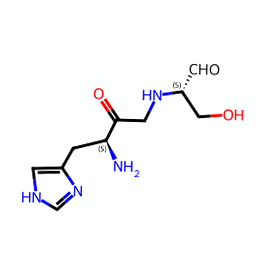 N[C@@H](Cc1c[nH]cn1)C(=O)CN[C@H](C=O)CO